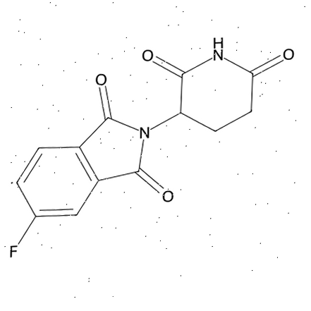 O=C1CCC(N2C(=O)c3c[c]c(F)cc3C2=O)C(=O)N1